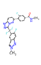 CNC(=O)c1ccc(-c2ccc3nnc(C(F)(F)c4cc5cn(C)nc5cc4F)n3n2)c(F)c1